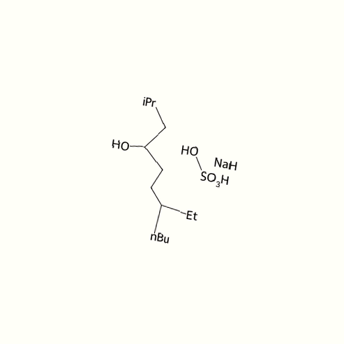 CCCCC(CC)CCC(O)CC(C)C.O=S(=O)(O)O.[NaH]